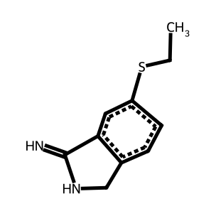 CCSc1ccc2c(c1)C(=N)NC2